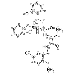 NCc1ccc(Cl)cc1CNC(=O)[C@H](CN)NC(=O)[C@@H](CCc1cccc[n+]1[O-])NS(=O)(=O)Cc1ccccc1